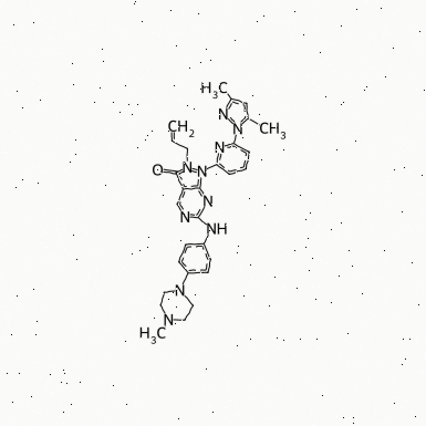 C=CCn1c(=O)c2cnc(Nc3ccc(N4CCN(C)CC4)cc3)nc2n1-c1cccc(-n2nc(C)cc2C)n1